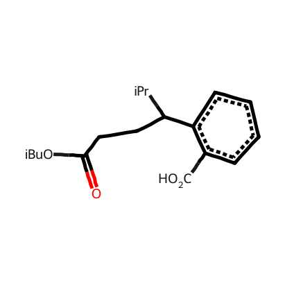 CC(C)COC(=O)CCC(c1ccccc1C(=O)O)C(C)C